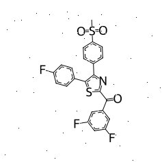 CS(=O)(=O)c1ccc(-c2nc(C(=O)c3cc(F)cc(F)c3)sc2-c2ccc(F)cc2)cc1